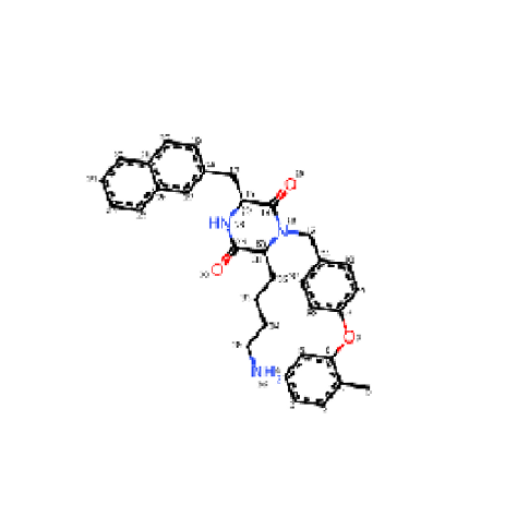 Cc1ccccc1Oc1ccc(CN2C(=O)[C@H](Cc3ccc4ccccc4c3)NC(=O)[C@@H]2CCCCN)cc1